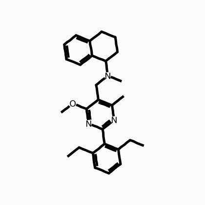 CCc1cccc(CC)c1-c1nc(C)c(CN(C)C2CCCc3ccccc32)c(OC)n1